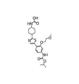 COCCOc1cc(NC(=O)OC(C)C)ccc1-c1cnc(C2CCC(NC(=O)O)CC2)s1